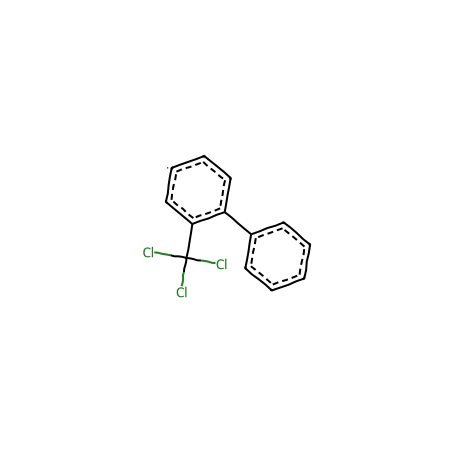 ClC(Cl)(Cl)c1c[c]ccc1-c1ccccc1